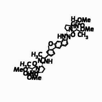 COC(=O)NC(C(=O)N1[C@@H](C)CC[C@H]1c1nc(C)c(-c2ccc3c(c2)COc2cc4c(ccc5nc([C@@H]6CC[C@H](C)N6C(=O)C(NC(=O)OC)C(C)OC)[nH]c54)cc2-3)[nH]1)C(C)OC